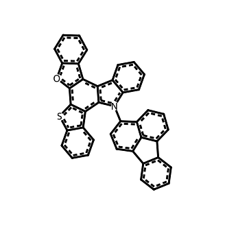 c1ccc2c(c1)-c1cccc3c(-n4c5ccccc5c5c6c7ccccc7oc6c6sc7ccccc7c6c54)ccc-2c13